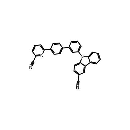 N#Cc1ccc2c(c1)c1ccccc1n2-c1cccc(-c2ccc(-c3cccc(C#N)n3)cc2)c1